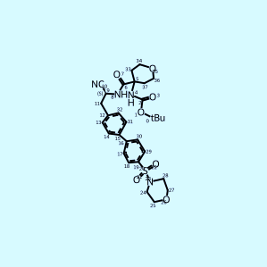 CC(C)(C)OC(=O)NC1(C(=O)N[C@H](C#N)Cc2ccc(-c3ccc(S(=O)(=O)N4CCOCC4)cc3)cc2)CCOCC1